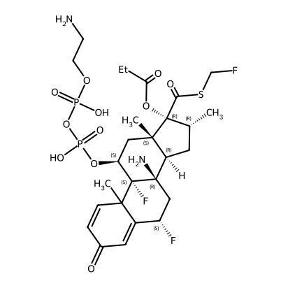 CCC(=O)O[C@]1(C(=O)SCF)[C@H](C)C[C@@H]2[C@]1(C)C[C@H](OP(=O)(O)OP(=O)(O)OCCN)[C@]1(F)C3(C)C=CC(=O)C=C3[C@@H](F)C[C@@]21N